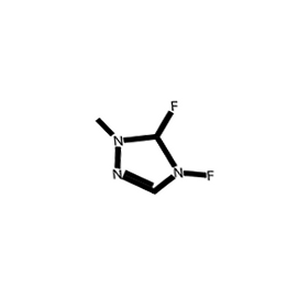 CN1N=CN(F)C1F